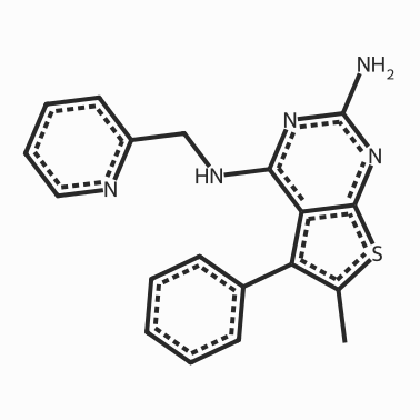 Cc1sc2nc(N)nc(NCc3ccccn3)c2c1-c1ccccc1